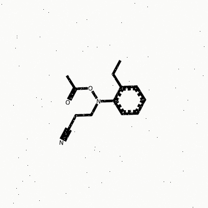 CCc1ccccc1N(CCC#N)OC(C)=O